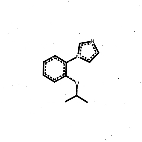 CC(C)Oc1ccccc1-n1[c]ncc1